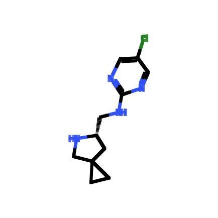 Clc1cnc(NC[C@@H]2CC3(CC3)CN2)nc1